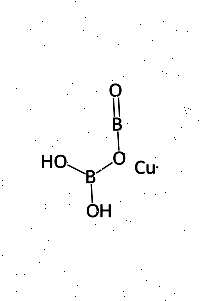 O=BOB(O)O.[Cu]